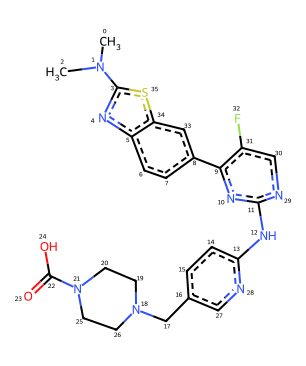 CN(C)c1nc2ccc(-c3nc(Nc4ccc(CN5CCN(C(=O)O)CC5)cn4)ncc3F)cc2s1